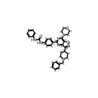 O=C(Nc1ccccc1)Nc1ccc(-c2nc(N3CCOCC3)c3onc(C4CCN(Cc5ccccc5)CC4)c3n2)cc1